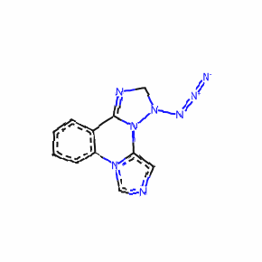 [N-]=[N+]=NN1CN=C2c3ccccc3-n3cncc3N21